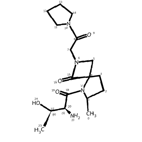 CC1CCC2(CN(CC(=O)N3CCCC3)C2=O)N1C(=O)[C@@H](N)[C@@H](C)O